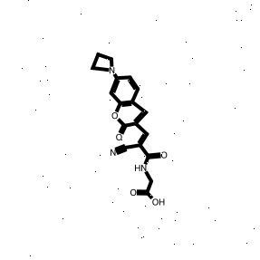 N#C/C(=C\c1cc2ccc(N3CCC3)cc2oc1=O)C(=O)NCC(=O)O